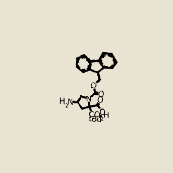 CC(C)(C)OC(=O)C1(C(=O)O)CC(N)CN1C(=O)OCC1c2ccccc2-c2ccccc21